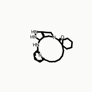 O=C1N2CC3=C(C2)C(NN3)Nc2cccc(n2)CCCCCC12CCCCC2